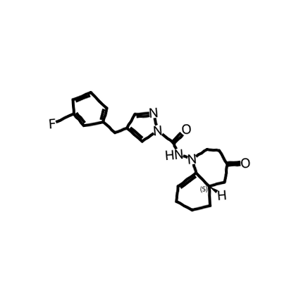 O=C1CCN(NC(=O)n2cc(Cc3cccc(F)c3)cn2)C2=CCCC[C@H]2C1